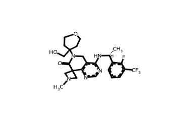 C[C@@H](Nc1ncnc2c1CN(C1(CO)CCOCC1)C(=O)C21CN(C)C1)c1cccc(C(F)(F)F)c1F